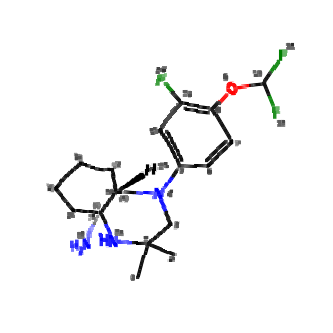 CC1(C)CN(c2ccc(OC(F)F)c(F)c2)[C@H]2CCCC[C@]2(N)N1